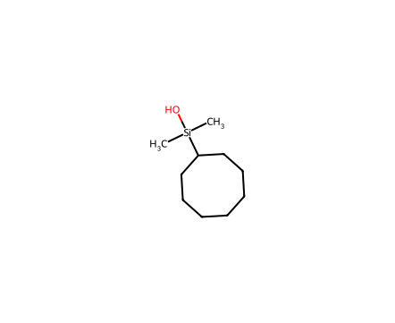 C[Si](C)(O)C1CCCCCCC1